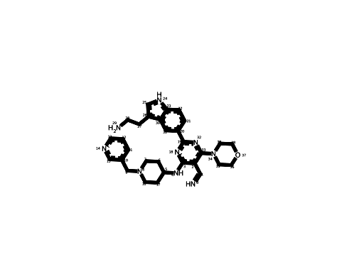 N=Cc1c(NC2CCN(Cc3cccnc3)CC2)nc(-c2ccc3[nH]cc(CCN)c3c2)nc1N1CCOCC1